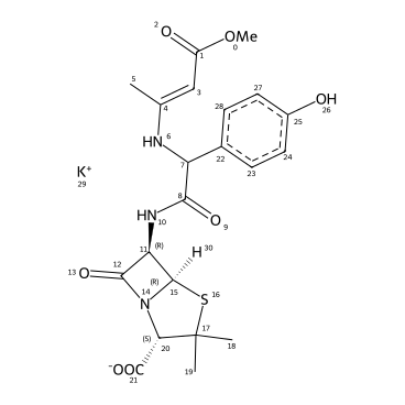 COC(=O)C=C(C)NC(C(=O)N[C@@H]1C(=O)N2[C@@H]1SC(C)(C)[C@@H]2C(=O)[O-])c1ccc(O)cc1.[K+]